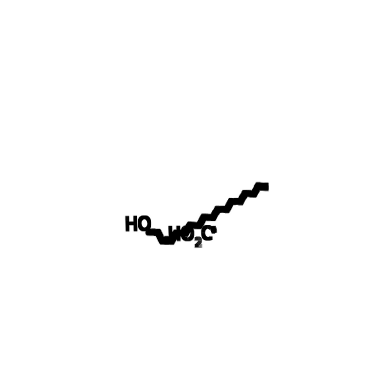 C=CCCCCCCCCCCCC/C=C\CCO.CC(=O)O